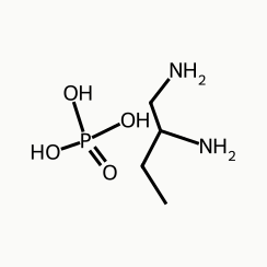 CCC(N)CN.O=P(O)(O)O